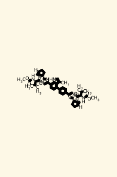 COC(=O)N[C@H](C(=O)N1C[C@@H]2CC[C@@]1(c1nc(-c3ccc(-c4ccc(-c5c[nH]c([C@@]67CC[C@@H](CN6C(=O)[C@@H](NC(=O)OC)C(C)C)C7)n5)c5[nH]cc(C)c45)cc3)c[nH]1)C2)C(C)C